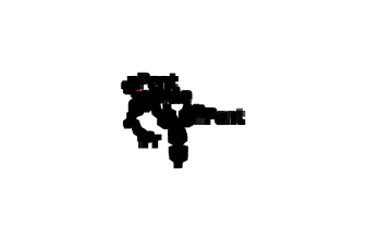 CCCCCC(C)(C)C=Cc1cc(OC)c(C=Cc2ccc(N(c3ccc(-c4ccc(C)cc4)cc3)c3ccc(C(C)(C)CCCCC)c(C)c3)cc2C)cc1OCCC(C)CCCC(C)C